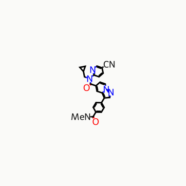 CNC(=O)c1ccc(-c2cnn3ccc(C(=O)N(CC4CC4)c4ccc(C#N)cn4)cc23)cc1